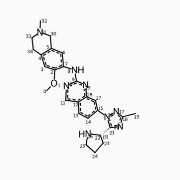 COc1cc2c(cc1Nc1ncc3ccc(-n4nc(C)nc4[C@@H]4CCCN4)cc3n1)CN(C)CC2